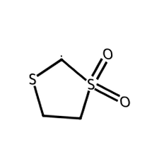 O=S1(=O)[CH]SCC1